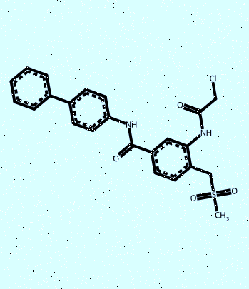 CS(=O)(=O)Cc1ccc(C(=O)Nc2ccc(-c3ccccc3)cc2)cc1NC(=O)CCl